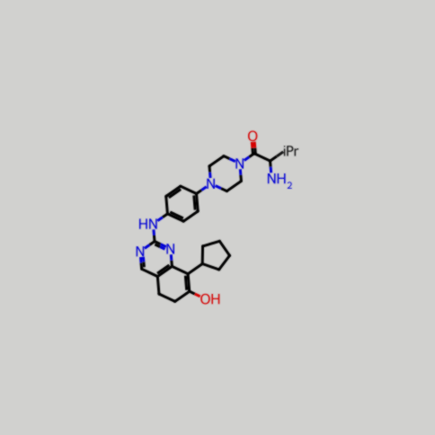 CC(C)C(N)C(=O)N1CCN(c2ccc(Nc3ncc4c(n3)C(C3CCCC3)=C(O)CC4)cc2)CC1